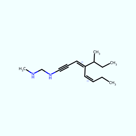 CC/C=C\C(=C/C#CNCNC)C(C)CC